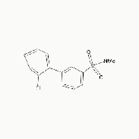 CNS(=O)(=O)c1cccc(-c2ccccc2Cl)c1